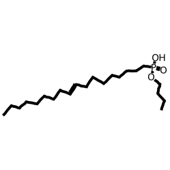 CCCCCCCCC=CCCCCCCCCP(=O)(O)OCCCC